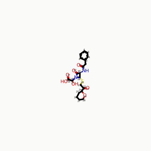 O=C(Cc1ccccc1)N[C@@H]1C(=O)N(C(O)C(=O)O)[C@@H]1SCC(=O)C1CCCCO1